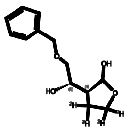 [2H]C1([2H])OC(O)[C@H]([C@H](O)COCc2ccccc2)C1([2H])[2H]